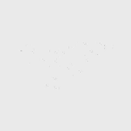 C[C@H](NC(=O)CNC(=O)[C@H](Cc1c[nH]c2ccccc12)NC(=O)[C@@H](N)CC(=O)O)C(=O)N[C@@H](Cc1c[nH]cn1)C(=O)N[C@@H](CCCNC(=N)N)C(=O)N[C@@H](CS)C(=O)N[C@H](C(=O)O)[C@@H](C)O